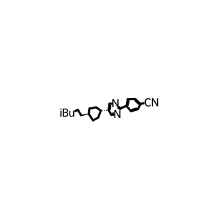 CCC(C)CC[C@H]1CC[C@H](c2cnc(-c3ccc(C#N)cc3)nc2)CC1